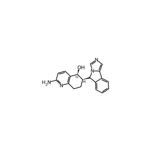 Nc1ccc2c(n1)CC[C@H](C1c3ccccc3-c3cncn31)[C@@H]2O